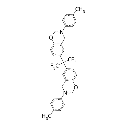 Cc1ccc(N2COc3ccc(C(c4ccc5c(c4)CN(c4ccc(C)cc4)CO5)(C(F)(F)F)C(F)(F)F)cc3C2)cc1